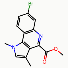 COC(=O)c1nc2cc(Br)ccc2c2c1c(C)cn2C